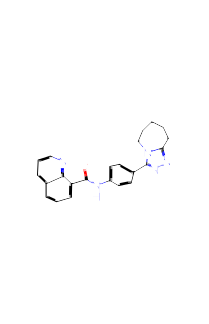 O=C(Nc1ccc(-c2nnc3n2CCCCC3)cc1)c1cccc2cccnc12